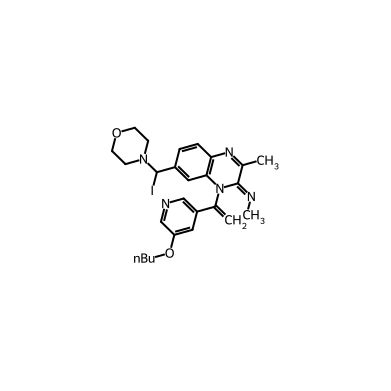 C=C(c1cncc(OCCCC)c1)n1/c(=N\C)c(C)nc2ccc(C(I)N3CCOCC3)cc21